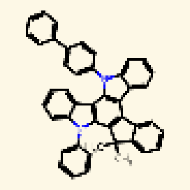 CC1(C)c2ccccc2-c2c1c1c(c3ccccc3n1-c1ccccc1)c1c2c2ccccc2n1-c1ccc(-c2ccccc2)cc1